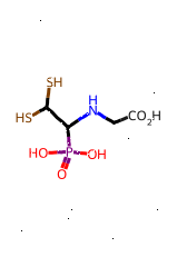 O=C(O)CNC(C(S)S)P(=O)(O)O